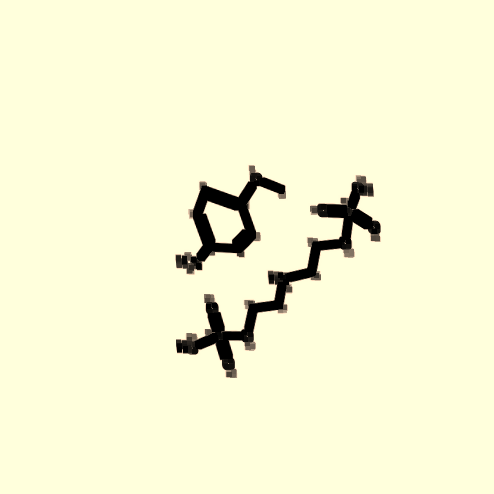 COc1ccc(N)cc1.O=S(=O)(O)OCCNCCOS(=O)(=O)O